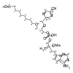 CCCCCCCCCCCCCCCCCCOC[C@@H](COP(=O)(O)OC[C@](C)(CCc1ccc2c(N)ncnn12)OC)OCc1cnc(C#N)cn1